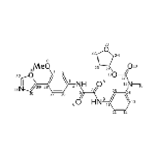 COc1cc(NC(=O)C(=O)Nc2cccc(N(C)C(=O)OC3CCOC3)c2)ccc1-c1cnco1